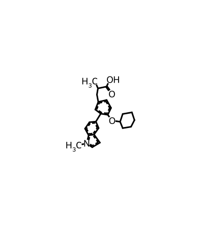 CC(Cc1ccc(OC2CCCCC2)c(-c2ccc3c(ccn3C)c2)c1)C(=O)O